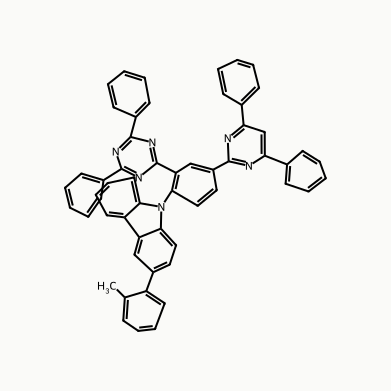 Cc1ccccc1-c1ccc2c(c1)c1ccccc1n2-c1ccc(-c2nc(-c3ccccc3)cc(-c3ccccc3)n2)cc1-c1nc(-c2ccccc2)nc(-c2ccccc2)n1